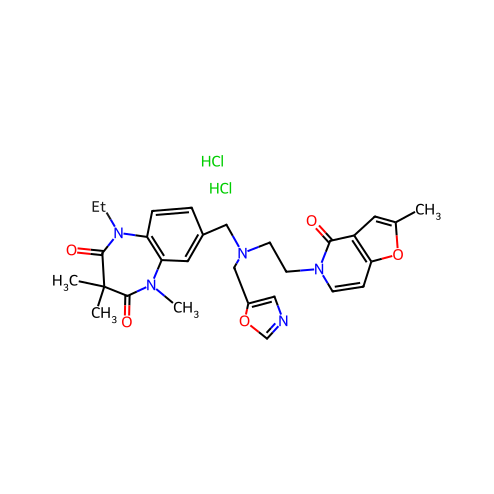 CCN1C(=O)C(C)(C)C(=O)N(C)c2cc(CN(CCn3ccc4oc(C)cc4c3=O)Cc3cnco3)ccc21.Cl.Cl